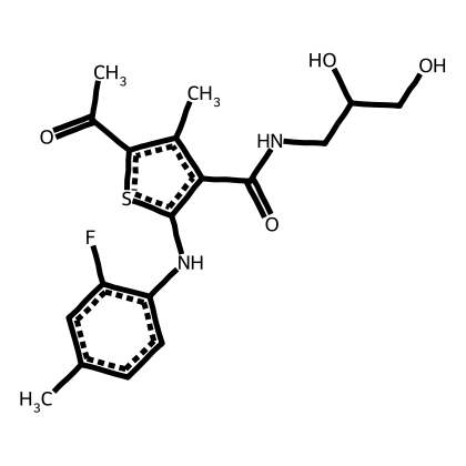 CC(=O)c1sc(Nc2ccc(C)cc2F)c(C(=O)NCC(O)CO)c1C